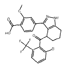 COc1cc(-c2n[nH]c3c2C(C(=O)c2c(Cl)cccc2C(F)(F)F)CCC3)ccc1C(=O)O